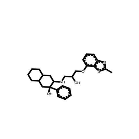 Cc1nc2cccc(OCC(O)CNC3CC4CCCCC4CC3(O)c3ccccc3)c2s1